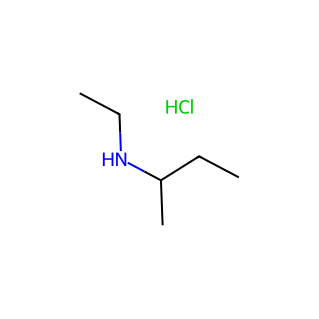 CCNC(C)CC.Cl